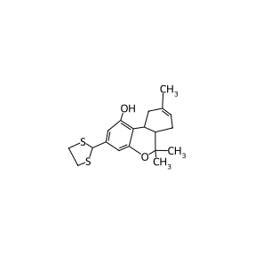 CC1=CCC2C(C1)c1c(O)cc(C3SCCS3)cc1OC2(C)C